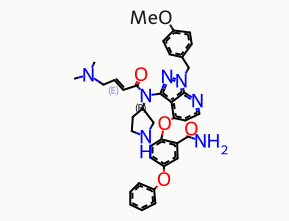 COc1ccc(Cn2nc(N(C(=O)/C=C/CN(C)C)[C@@H]3CCNC3)c3c(Oc4ccc(Oc5ccccc5)cc4C(N)=O)ccnc32)cc1